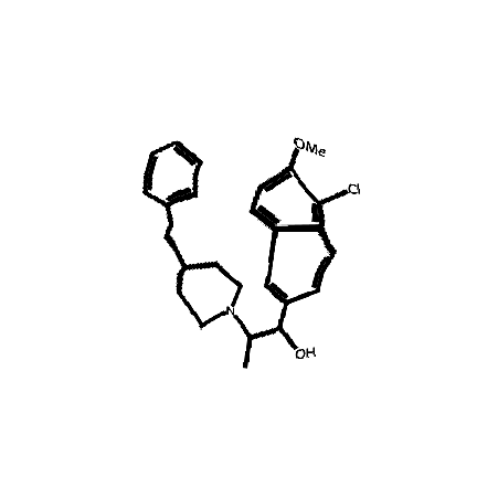 COc1ccc2cc(C(O)C(C)N3CCC(Cc4ccccc4)CC3)ccc2c1Cl